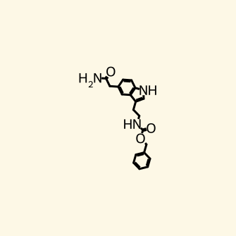 NC(=O)Cc1ccc2[nH]cc(CCNC(=O)OCc3ccccc3)c2c1